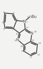 CCCCn1c2ccccc2c2nc3ccccc3nc21